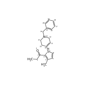 CCC(=O)C1=C(C)C=C[SH]1C1=CCN(Cc2ccccc2)CC1